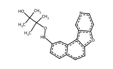 CC(C)(O)C(C)(C)OBc1ccc2ccc3oc4ccncc4c3c2c1